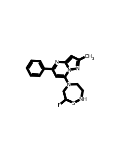 Cc1cc2nc(-c3ccccc3)cc(N3CCNSC(F)C3)n2n1